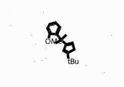 COc1ccccc1C(C)(C)C1=CCC(C(C)(C)C)=C1